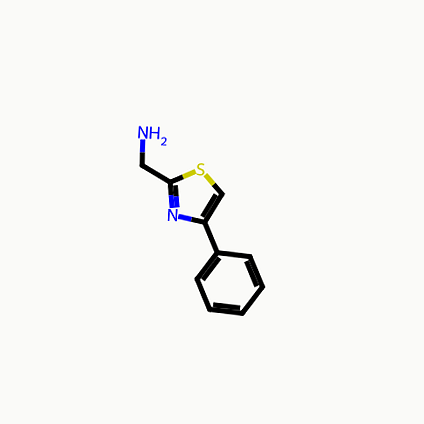 NCc1nc(-c2ccccc2)cs1